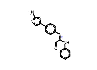 Nc1ncc(-c2ccc(/N=C(\C=O)Nc3ccccc3)cc2)s1